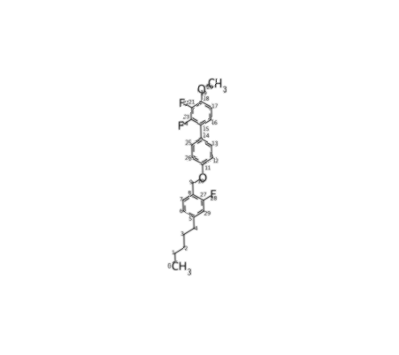 CCCCCc1ccc(COc2ccc(-c3ccc(OC)c(F)c3F)cc2)c(F)c1